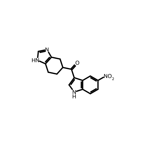 O=C(c1c[nH]c2ccc([N+](=O)[O-])cc12)C1CCc2[nH]cnc2C1